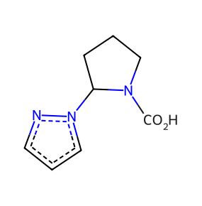 O=C(O)N1CCCC1n1cccn1